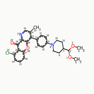 COC(OC)C1CCN(c2ccc(-c3c(C)cnc4c(=O)c5c(Cl)cccc5oc34)cc2)CC1